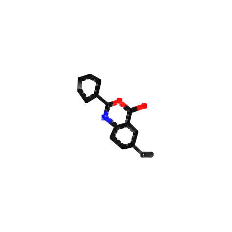 O=[C]c1ccc2nc(-c3ccccc3)oc(=O)c2c1